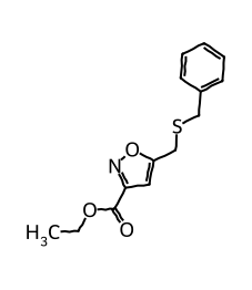 CCOC(=O)c1cc(CSCc2ccccc2)on1